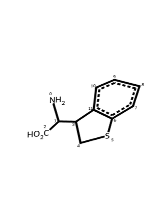 NC(C(=O)O)C1CSc2ccccc21